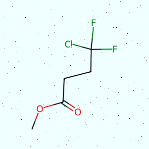 COC(=O)CCC(F)(F)Cl